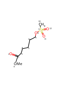 COC(=O)C[CH]C[CH]COS(C)(=O)=O